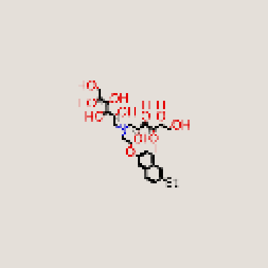 CCc1ccc2cc(OCCN(C[C@H](O)[C@@H](O)[C@H](O)[C@H](O)CO)C[C@H](O)[C@@H](O)[C@H](O)[C@H](O)CO)ccc2c1